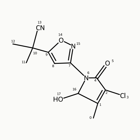 CC1=C(Cl)C(=O)N(c2cc(C(C)(C)C#N)on2)C1O